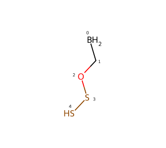 BCOSS